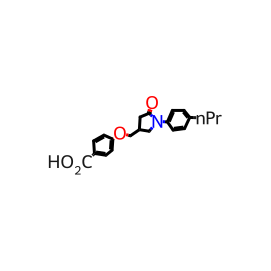 CCCc1ccc(N2CC(COc3ccc(C(=O)O)cc3)CC2=O)cc1